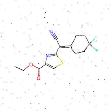 CCOC(=O)c1csc(C(C#N)=C2CCC(F)(F)CC2)n1